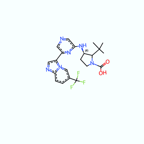 CC(C)(C)C1[C@H](Nc2cncc(-c3cnc4ccc(C(F)(F)F)cn34)n2)CCN1C(=O)O